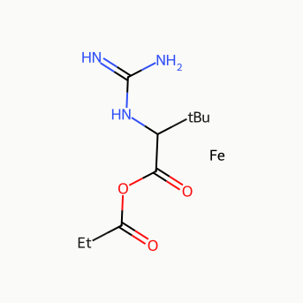 CCC(=O)OC(=O)C(NC(=N)N)C(C)(C)C.[Fe]